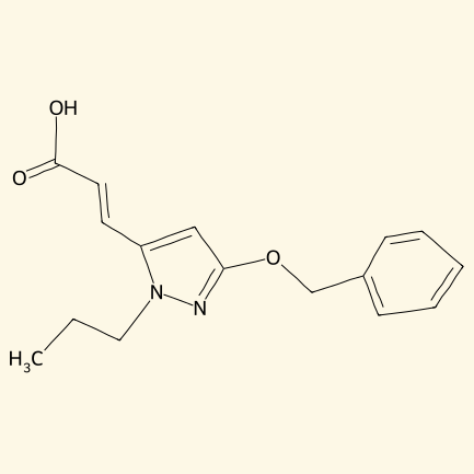 CCCn1nc(OCc2ccccc2)cc1/C=C/C(=O)O